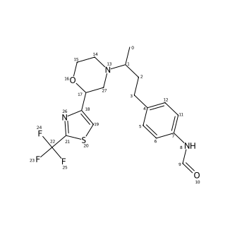 CC(CCc1ccc(NC=O)cc1)N1CCOC(c2csc(C(F)(F)F)n2)C1